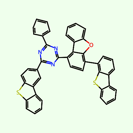 c1ccc(-c2nc(-c3ccc4sc5ccccc5c4c3)nc(-c3ccc(-c4cccc5c4sc4ccccc45)c4oc5ccccc5c34)n2)cc1